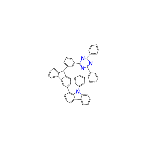 c1ccc(-c2nc(-c3ccccc3)nc(-c3cccc(C4c5ccccc5-c5cc(-c6cccc7c8ccccc8n(-c8ccccc8)c67)ccc54)c3)n2)cc1